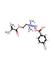 C=C(C)C(=O)OCC[N+](C)(C)NOC(=O)c1ccc(Cl)cc1